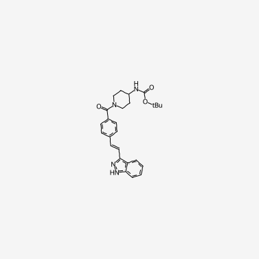 CC(C)(C)OC(=O)NC1CCN(C(=O)c2ccc(C=Cc3n[nH]c4ccccc34)cc2)CC1